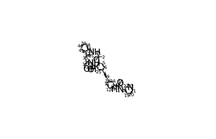 CC(C)Oc1ccc(C#Cc2cccc(C(=O)Nc3cccnc3)c2)cc1C(=O)N[C@@H](CO)Cc1c[nH]c2ccccc12